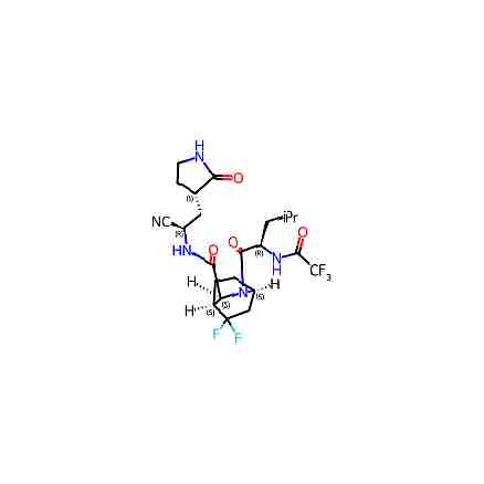 CC(C)C[C@@H](NC(=O)C(F)(F)F)C(=O)N1[C@H]2CC[C@@H]([C@H]1C(=O)N[C@@H](C#N)C[C@@H]1CCNC1=O)C(F)(F)C2